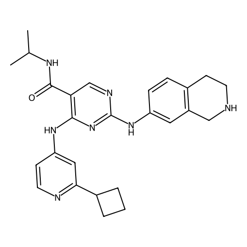 CC(C)NC(=O)c1cnc(Nc2ccc3c(c2)CNCC3)nc1Nc1ccnc(C2CCC2)c1